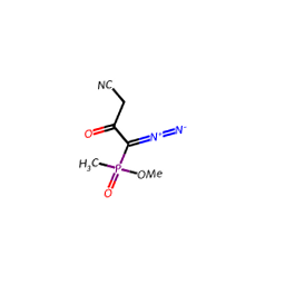 COP(C)(=O)C(=[N+]=[N-])C(=O)CC#N